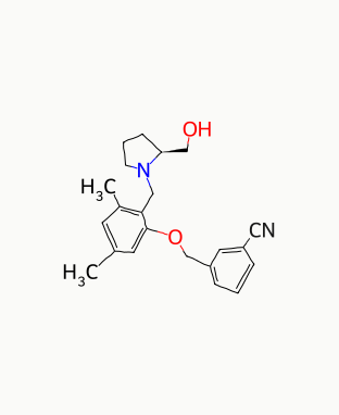 Cc1cc(C)c(CN2CCC[C@H]2CO)c(OCc2cccc(C#N)c2)c1